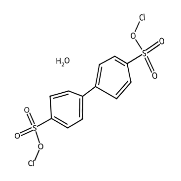 O.O=S(=O)(OCl)c1ccc(-c2ccc(S(=O)(=O)OCl)cc2)cc1